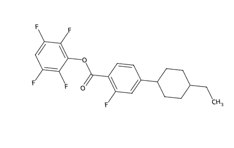 CCC1CCC(c2ccc(C(=O)Oc3c(F)c(F)cc(F)c3F)c(F)c2)CC1